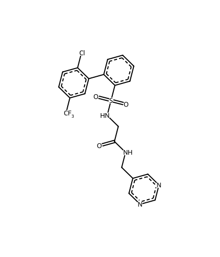 O=C(CNS(=O)(=O)c1ccccc1-c1cc(C(F)(F)F)ccc1Cl)NCc1cncnc1